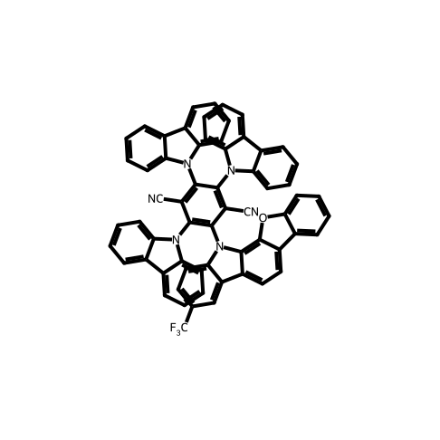 N#Cc1c(-n2c3ccccc3c3ccccc32)c(-n2c3ccccc3c3ccccc32)c(C#N)c(-n2c3ccc(C(F)(F)F)cc3c3ccc4c5ccccc5oc4c32)c1-n1c2ccccc2c2ccccc21